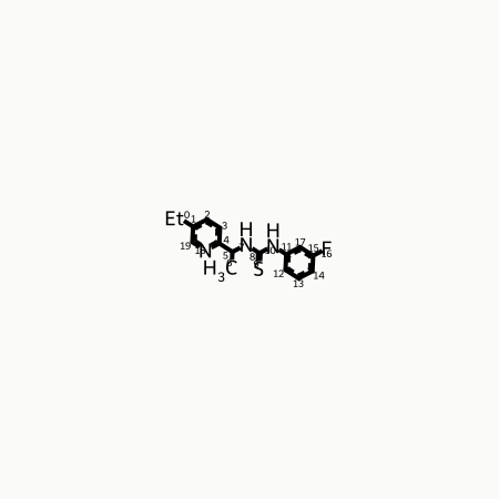 CCc1ccc(C(C)NC(=S)Nc2cccc(F)c2)nc1